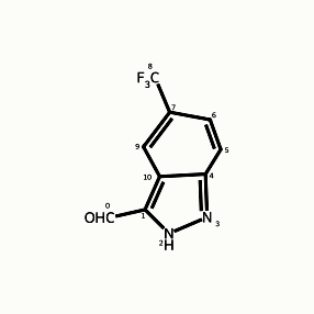 O=Cc1[nH]nc2ccc(C(F)(F)F)cc12